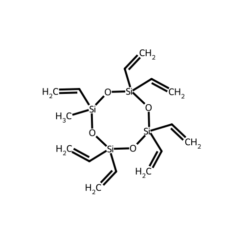 C=C[Si]1(C)O[Si](C=C)(C=C)O[Si](C=C)(C=C)O[Si](C=C)(C=C)O1